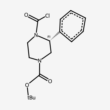 CC(C)(C)OC(=O)N1CCN(C(=O)Cl)[C@H](c2ccccc2)C1